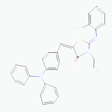 CCN1C(=O)/C(=C\c2ccc(N(c3ccccc3)c3ccccc3)cc2)O/C1=N\c1ccccc1C